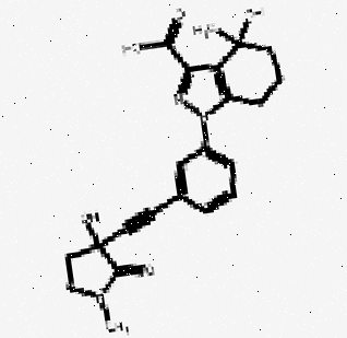 CN1CCC(O)(C#Cc2cccc(-n3nc(C(=O)O)c4c3CCCC4(C)O)c2)C1=O